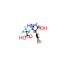 O=C(O)C(F)(F)F.O[C@H]1CNC[C@@H]1C#CBr